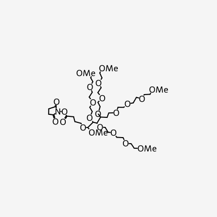 COCCOCCOCCOCCC(OCCOCCOCCOC)[C@H](OCCOCCOCCOC)C(OCCOCCOCCOC)C(OC)OCCCC(=O)ON1C(=O)CCC1=O